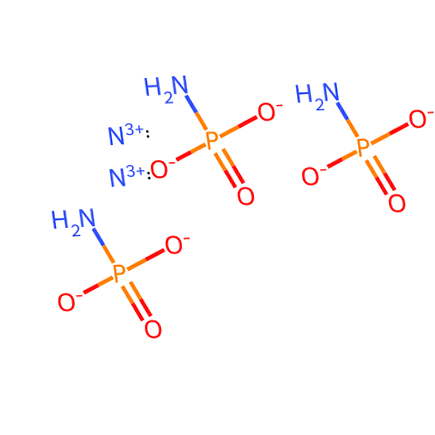 NP(=O)([O-])[O-].NP(=O)([O-])[O-].NP(=O)([O-])[O-].[N+3].[N+3]